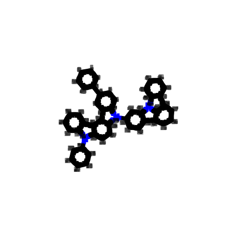 c1ccc(-c2ccc3c(c2)c2c4c5ccccc5n(-c5ccccc5)c4ccc2n3-c2ccc3c4cccc5c6ccccc6n(c3c2)c54)cc1